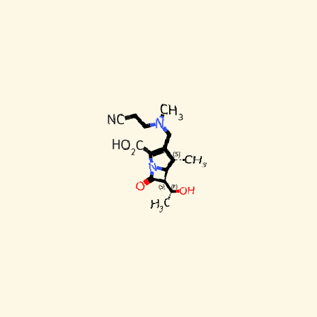 C[C@H]1C(CN(C)CCC#N)=C(C(=O)O)N2C(=O)[C@H]([C@@H](C)O)C12